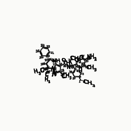 CCc1ccc([C@](CC)(NC(=O)c2c(C)nn3c2N[C@@H](c2ccccc2)CC3(C)C)C(=O)N[C@@H](C)C(N)=O)cc1